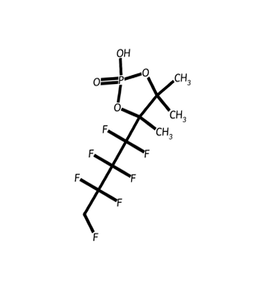 CC1(C)OP(=O)(O)OC1(C)C(F)(F)C(F)(F)C(F)(F)CF